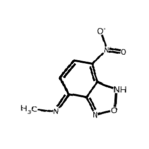 CN=c1ccc([N+](=O)[O-])c2[nH]onc1-2